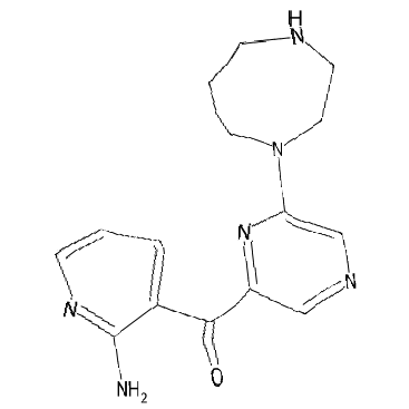 Nc1ncccc1C(=O)c1cncc(N2CCCNCC2)n1